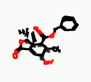 C[C@H]1[C@H](C(=O)OCc2ccccc2)[C@H]2C(=C[C@H]1O)C(=O)O[C@@H]2C